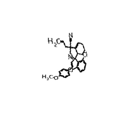 C=CCC(C#N)(C#N)C1=CCCC[C@H]1[C@@](I)(/C=C/c1ccc(OC)cc1)c1c(Cl)cccc1Cl